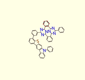 c1ccc(-c2nc(-c3ccccc3)nc(-c3ccccc3-c3nc(-c4ccccc4)nc(-c4cccc(-c5cccc6c5sc5cc7c(cc56)c5ccccc5n7-c5ccccc5)c4)n3)n2)cc1